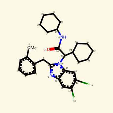 COc1ccccc1Cc1nc2cc(F)c(F)cc2n1C(C(=O)NC1CCCCC1)C1CCCCC1